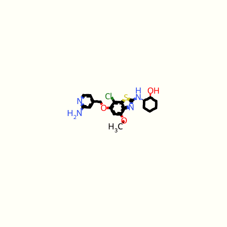 COc1cc(OCc2ccnc(N)c2)c(Cl)c2sc(N[C@H]3CCCC[C@@H]3O)nc12